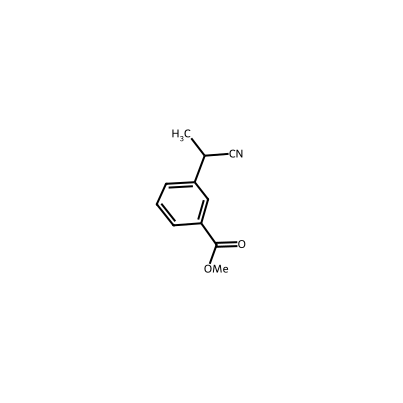 COC(=O)c1cccc(C(C)C#N)c1